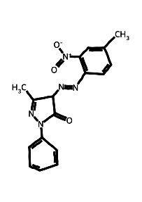 CC1=NN(c2ccccc2)C(=O)C1N=Nc1ccc(C)cc1[N+](=O)[O-]